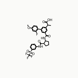 COc1ccc(-c2cc(C(=O)NC3CCCC3C(=O)Nc3cccc(S(=O)(=O)C(F)(F)F)c3)cc(C(C)C(=O)O)c2)c(F)c1